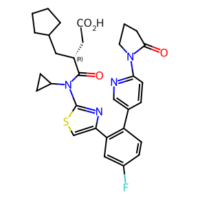 O=C(O)C[C@@H](CC1CCCC1)C(=O)N(c1nc(-c2cc(F)ccc2-c2ccc(N3CCCC3=O)nc2)cs1)C1CC1